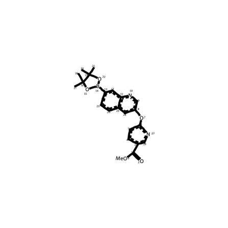 COC(=O)c1ccc(Oc2cnc3cc(B4OC(C)(C)C(C)(C)O4)ccc3c2)nc1